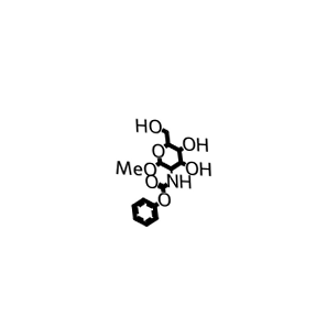 COC1OC(CO)C(O)C(O)[C@@H]1NC(=O)Oc1ccccc1